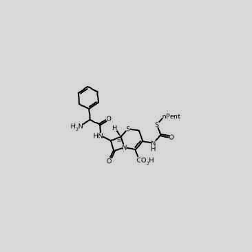 CCCCCSC(=O)NC1=C(C(=O)O)N2C(=O)C(NC(=O)C(N)C3=CCC=CC3)[C@@H]2SC1